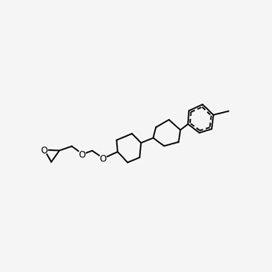 Cc1ccc(C2CCC(C3CCC(OCOCC4CO4)CC3)CC2)cc1